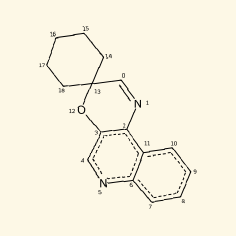 C1=Nc2c(cnc3ccccc23)OC12CCCCC2